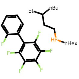 CCCCCCPCCC(CC)CCCC.Fc1ccccc1-c1c(F)c(F)c(F)c(F)c1F